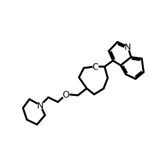 c1ccc2c(C3CCCC(COCCN4CCCCC4)CCC3)ccnc2c1